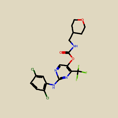 O=C(NCC1CCOCC1)Oc1cnc(Nc2cc(Cl)ccc2Cl)nc1C(F)(F)F